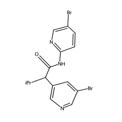 CC(C)C(C(=O)Nc1ccc(Br)cn1)c1cncc(Br)c1